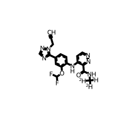 [2H]C([2H])([2H])NC(=O)c1nnccc1Nc1ccc(-c2ncnn2CC#C)cc1OC(F)F